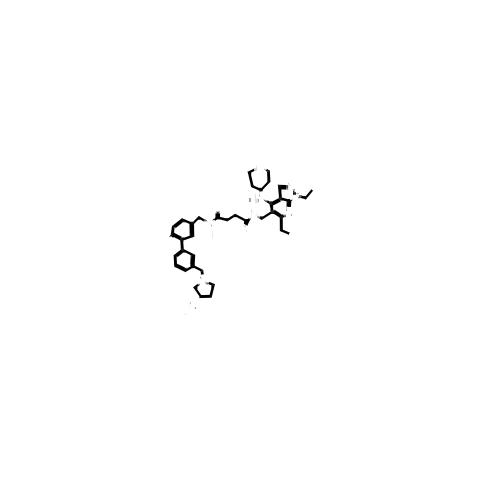 CCc1nc2c(cnn2CC)c(NC2CCOCC2)c1CNC(=O)CCC(=O)NCc1ccc(F)c(-c2cccc(CN3CC[C@H](N)C3)c2)c1